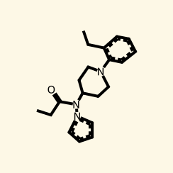 CCC(=O)N(C1CCN(c2ccccc2CC)CC1)n1cccc1